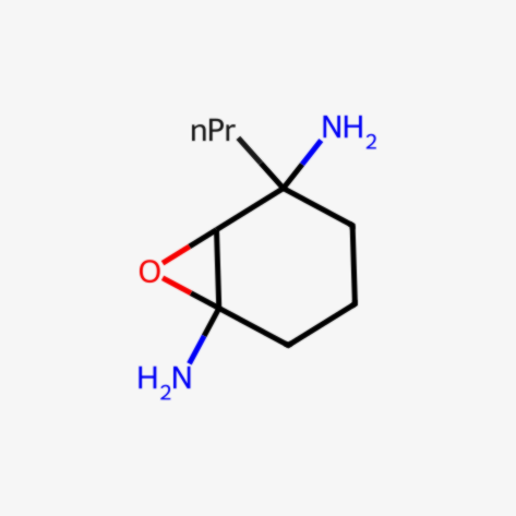 CCCC1(N)CCCC2(N)OC12